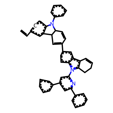 C=Cc1ccc2c(c1)C1C=C(c3ccc4c(c3)c3c(n4-c4cc(-c5ccccc5)cc(-c5ccccc5)n4)CCC=C3)C=CC1N2c1ccccc1